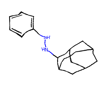 c1ccc(NNC2C3CC4CC(C3)CC2C4)cc1